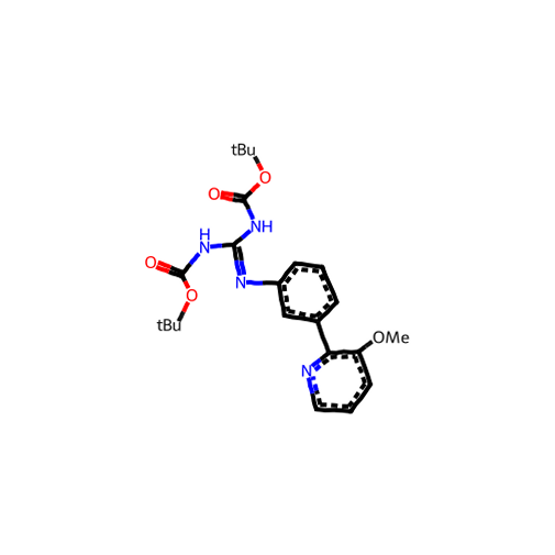 COc1cccnc1-c1cccc(N=C(NC(=O)OC(C)(C)C)NC(=O)OC(C)(C)C)c1